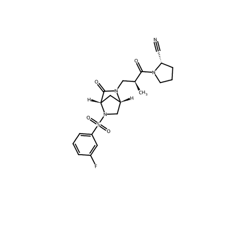 C[C@@H](CN1C(=O)[C@@H]2C[C@H]1CN2S(=O)(=O)c1cccc(F)c1)C(=O)N1CCC[C@H]1C#N